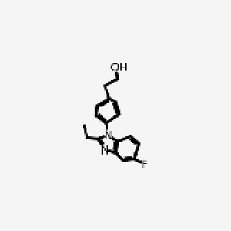 CCc1nc2cc(F)ccc2n1-c1ccc(CCO)cc1